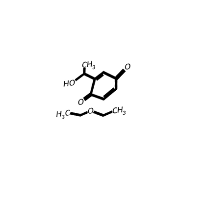 CC(O)C1=CC(=O)C=CC1=O.CCOCC